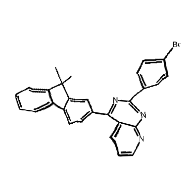 CC1(C)c2ccccc2-c2ccc(-c3nc(-c4ccc(Br)cc4)nc4ncccc34)cc21